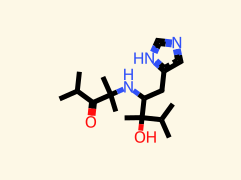 CC(C)C(=O)C(C)(C)NC(Cc1cnc[nH]1)C(C)(O)C(C)C